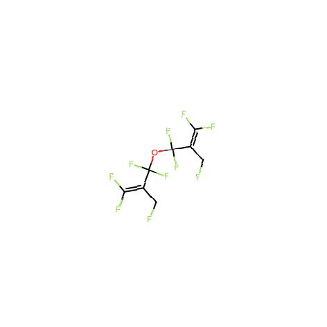 FCC(=C(F)F)C(F)(F)OC(F)(F)C(CF)=C(F)F